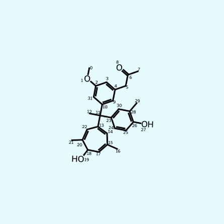 COc1cc(CC(C)=O)cc(C(C)(C2=CC(C)=CC(O)C(C)=C2)c2ccc(O)c(C)c2)c1